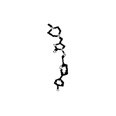 CN1CCN(CC2CN(N=Cc3ccc(-c4ccc(Cl)cc4)o3)C(=O)O2)CC1